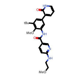 COCCNc1ccc(C(=O)Nc2cc(-c3ccc[nH]c3=O)cc(C(C)(C)C)c2OC)cn1